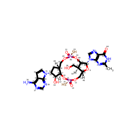 Cc1nc2c(ncn2[C@@H]2O[C@@H]3CO[P@](=O)(S)O[C@@H]4[C@@H](CO[P@@](=O)(S)O[C@@H]2[C@@H]3CO)C[C@@H](n2ccc3c(N)ncnc32)[C@@H]4O)c(=O)[nH]1